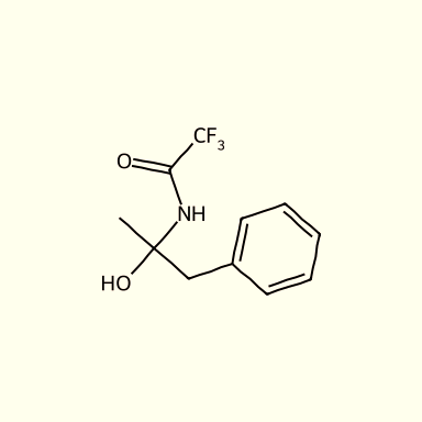 CC(O)(Cc1ccccc1)NC(=O)C(F)(F)F